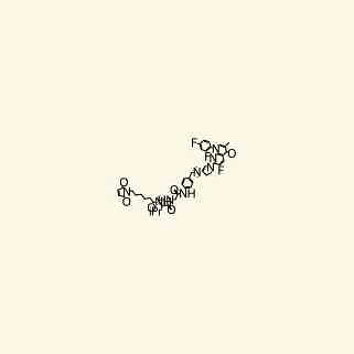 Cc1cn(-c2ccc(F)cc2F)c2nc(N3CCC([N+](C)(C)Cc4ccc(NC(=O)CNC(=O)C(NC(=O)CCCCCN5C(=O)C=CC5=O)C(C)C)cc4)C3)c(F)cc2c1=O